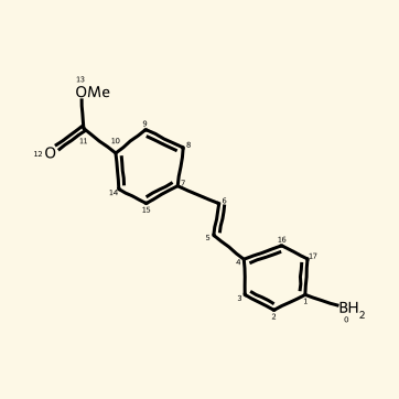 Bc1ccc(C=Cc2ccc(C(=O)OC)cc2)cc1